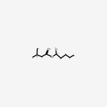 CCCCC(Cl)OC(=O)CC(C)C